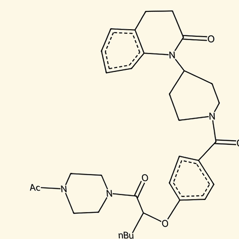 CCCCC(Oc1ccc(C(=O)N2CCC(N3C(=O)CCc4ccccc43)CC2)cc1)C(=O)N1CCN(C(C)=O)CC1